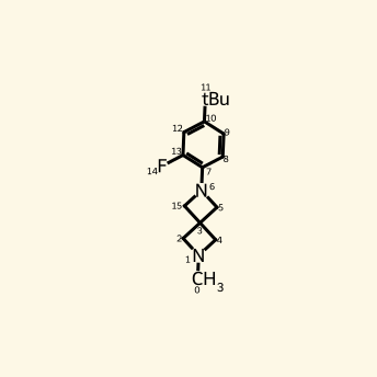 CN1CC2(C1)CN(c1ccc(C(C)(C)C)cc1F)C2